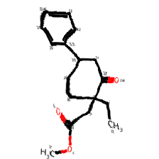 CCC1(CC(=O)OC)CCC(c2ccccc2)CC1=O